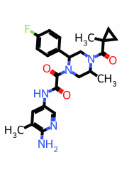 Cc1cc(NC(=O)C(=O)N2CC(C)N(C(=O)C3(C)CC3)CC2c2ccc(F)cc2)cnc1N